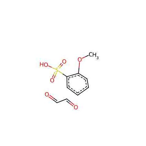 COc1ccccc1S(=O)(=O)O.O=CC=O